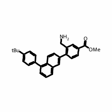 COC(=O)c1ccc(-c2ccc3c(-c4ccc(C(C)(C)C)cc4)cccc3c2)c(CN)c1